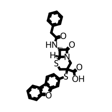 O=C(Cc1ccccc1)N[C@@H]1C(=O)N2CC(Sc3ccc4c(c3)oc3ccccc34)(C(=O)O)CS[C@H]12